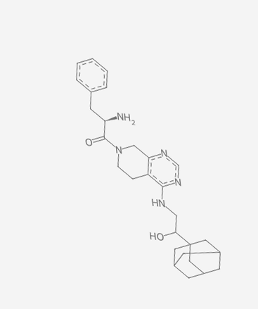 N[C@H](Cc1ccccc1)C(=O)N1CCc2c(ncnc2NCC(O)C23CC4CC(CC(C4)C2)C3)C1